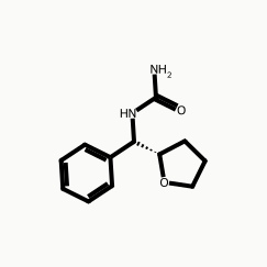 NC(=O)NC(c1ccccc1)[C@@H]1CCCO1